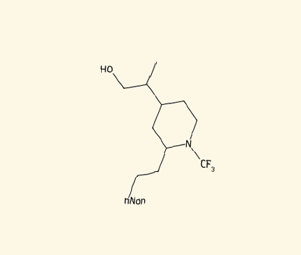 CCCCCCCCCCCC1CC(C(C)CO)CCN1C(F)(F)F